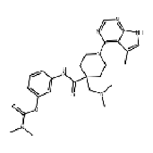 Cc1c[nH]c2ncnc(N3CCC(CN(C)C)(C(=O)Nc4cccc(OC(=O)N(C)C)c4)CC3)c12